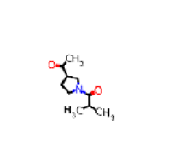 CC(=O)C1CCN(C(=O)C(C)C)C1